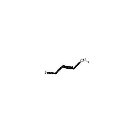 C/[C]=C/CF